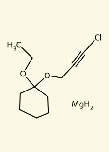 CCOC1(OCC#CCl)CCCCC1.[MgH2]